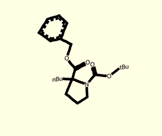 CCCCC1(C(=O)OCc2ccccc2)CCCN1C(=O)OC(C)(C)C